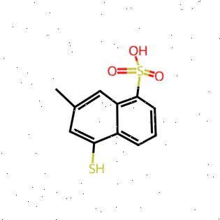 Cc1cc(S)c2cccc(S(=O)(=O)O)c2c1